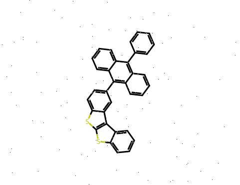 c1ccc(-c2c3ccccc3c(-c3ccc4sc5sc6ccccc6c5c4c3)c3ccccc23)cc1